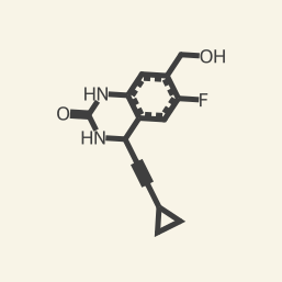 O=C1Nc2cc(CO)c(F)cc2C(C#CC2CC2)N1